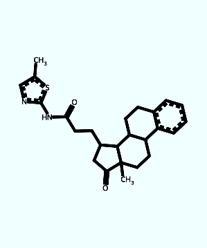 Cc1cnc(NC(=O)CCC2CC(=O)C3(C)CCC4c5ccccc5CCC4C23)s1